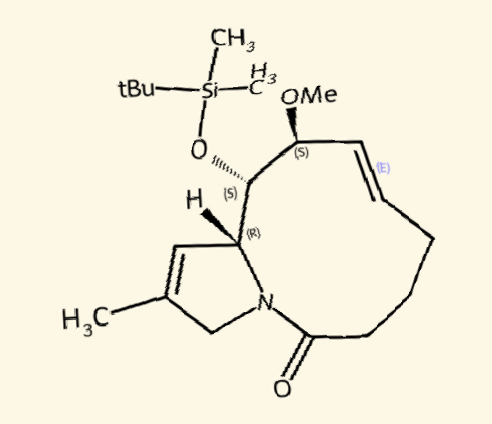 CO[C@H]1/C=C/CCCC(=O)N2CC(C)=C[C@@H]2[C@@H]1O[Si](C)(C)C(C)(C)C